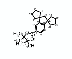 CC1(C)OB(c2ccc3c(c2)C2(CCCC2)CC32CCCC2)OC1(C)C